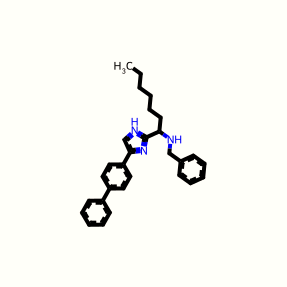 CCCCCCC(NCc1ccccc1)c1nc(-c2ccc(-c3ccccc3)cc2)c[nH]1